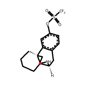 O=S(=O)(Oc1ccc2c(c1)[C@]13CCCCC1[C@H](C2)NCC3)C(F)(F)F